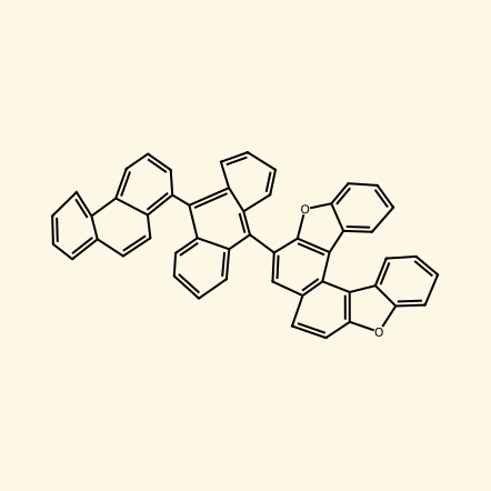 c1ccc2c(c1)ccc1c(-c3c4ccccc4c(-c4cc5ccc6oc7ccccc7c6c5c5c4oc4ccccc45)c4ccccc34)cccc12